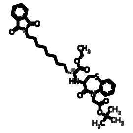 CCOC(=O)[C@@H](CCCCCCCCCN1C(=O)c2ccccc2C1=O)NC1CSc2ccccc2N(CC(=O)OC(C)(C)C)C1=O